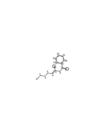 CCCCC=C1CC(=O)c2ccccc2O1